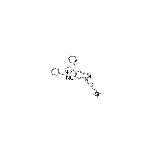 C[Si](C)(C)CCOCn1ncc2cc(C3(Cc4ccccc4)CCN(Cc4ccccc4)C3)c(C#N)cc21